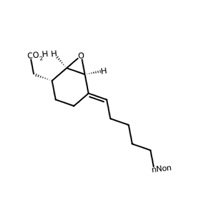 CCCCCCCCCCCCC/C=C1\CC[C@H](CC(=O)O)[C@H]2O[C@@H]12